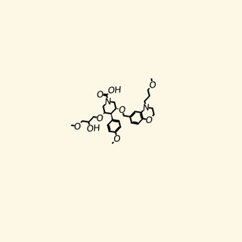 COCCCN1CCOc2ccc(CO[C@H]3CN(C(=O)O)C[C@@H](OCC(O)COC)[C@@H]3c3ccc(OC)cc3)cc21